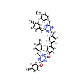 CCc1ccc(Cc2nc(Cc3ccc(CC)cc3)nc(Cc3ccc(-c4ccc(Oc5nc(Cc6ccc(CC)cc6)nc(Oc6ccc(CC)cc6)n5)cc4)cc3)n2)cc1